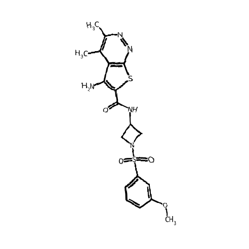 COc1cccc(S(=O)(=O)N2CC(NC(=O)c3sc4nnc(C)c(C)c4c3N)C2)c1